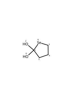 OC1(O)CCC[Se]1